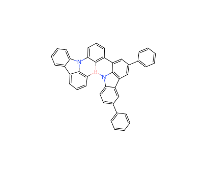 c1ccc(-c2ccc3c(c2)c2cc(-c4ccccc4)cc4c2n3B2c3c-4cccc3-n3c4ccccc4c4cccc2c43)cc1